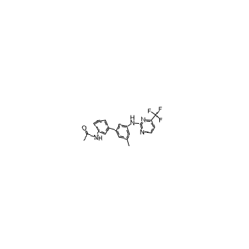 CC(=O)Nc1cccc(-c2cc(C)cc(Nc3nccc(C(F)(F)F)n3)c2)c1